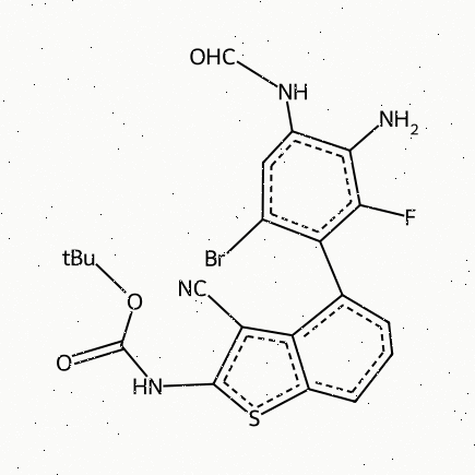 CC(C)(C)OC(=O)Nc1sc2cccc(-c3c(Br)cc(NC=O)c(N)c3F)c2c1C#N